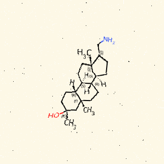 C[C@@]1(O)CC[C@@H]2[C@H]3CC[C@]4(C)[C@@H](CN)CC[C@H]4[C@@H]3CC[C@]2(C)C1